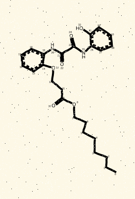 CCCCCCCCOC(=O)CCOc1ccccc1NC(=O)C(=O)Nc1ccccc1O